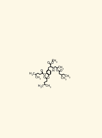 CCC(C)CC(=O)OC(C)CN[C@@H](Cc1ccc(OC(=O)CCC(C)C)c(OC(=O)CCC(C)C)c1)C(=O)OC